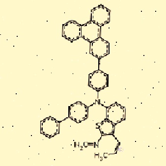 C=Nc1sc2c(N(c3ccc(-c4ccccc4)cc3)c3ccc(-c4ccc5c6ccccc6c6ccccc6c5c4)cc3)cccc2c1/C=C\C